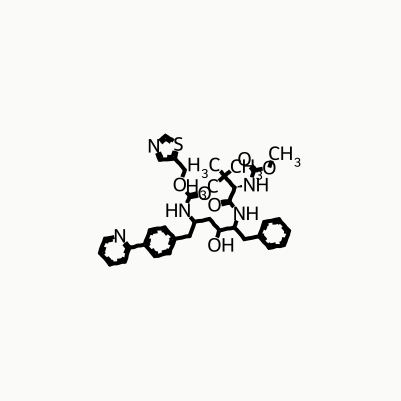 COC(=O)N[C@H](C(=O)NC(Cc1ccccc1)C(O)CC(Cc1ccc(-c2ccccn2)cc1)NC(=O)OCc1cncs1)C(C)(C)C